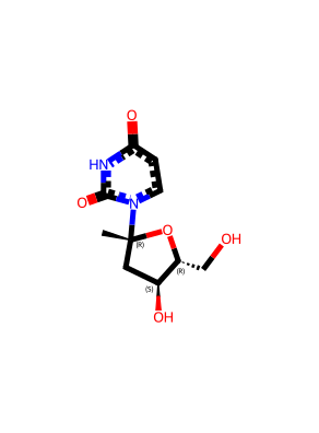 C[C@]1(n2ccc(=O)[nH]c2=O)C[C@H](O)[C@@H](CO)O1